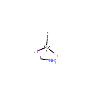 C[NH3+].[I][Pb+]([I])[I]